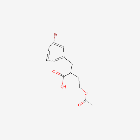 CC(=O)OCCC(Cc1cccc(Br)c1)C(=O)O